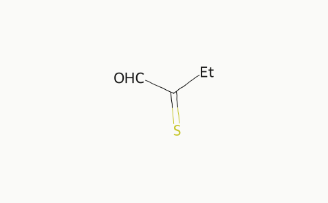 CCC(=S)C=O